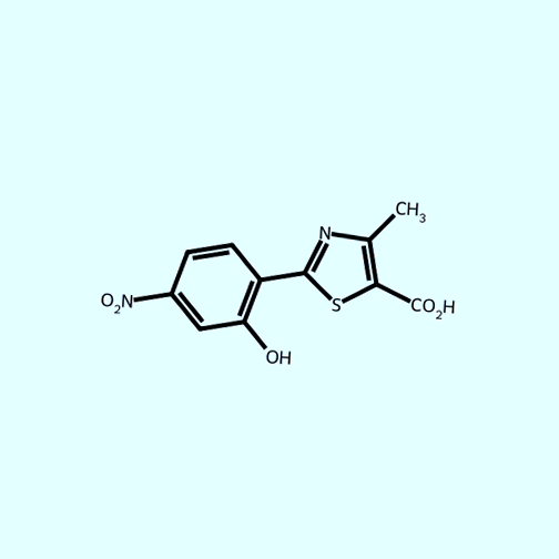 Cc1nc(-c2ccc([N+](=O)[O-])cc2O)sc1C(=O)O